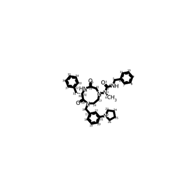 CN(C(=O)NCc1ccccc1)N1CCN(Cc2cccc(N3CCCC3)c2)C(=O)[C@H](Cc2ccccc2)NC(=O)C1